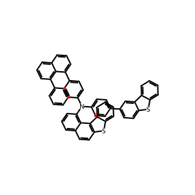 c1ccc(-c2cccc3cccc(-c4ccc(N(c5ccc(-c6ccc7sc8ccccc8c7c6)cc5)c5cccc6ccc7sc8ccccc8c7c56)cc4)c23)cc1